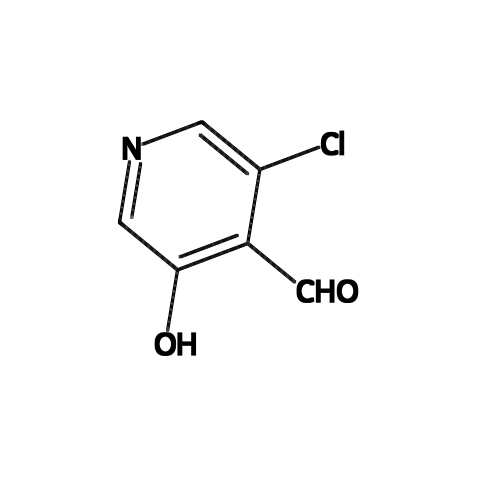 O=Cc1c(O)cncc1Cl